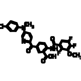 COc1c(F)c(F)cc(C(=O)Nc2ccc(C(=O)c3ccc(N(C)c4ccc(Cl)cc4)cn3)cc2C(=O)O)c1F